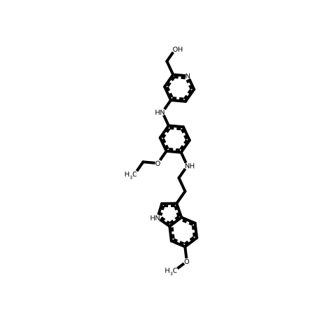 CCOc1cc(Nc2ccnc(CO)c2)ccc1NCCc1c[nH]c2cc(OC)ccc12